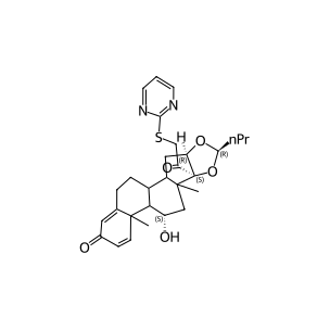 CCC[C@@H]1O[C@@H]2CC3C4CCC5=CC(=O)C=CC5(C)C4[C@@H](O)CC3(C)[C@]2(C(=O)CSc2ncccn2)O1